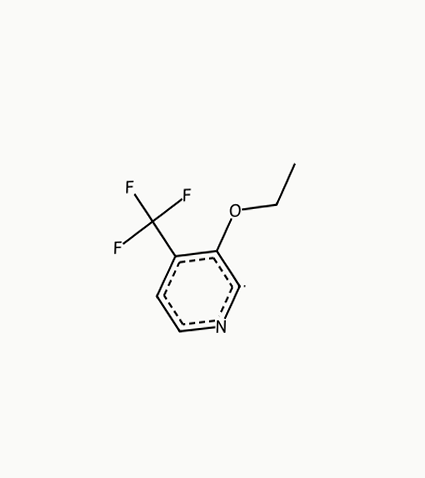 CCOc1[c]nccc1C(F)(F)F